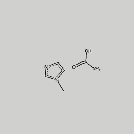 Cn1ccnc1.NC(=O)O